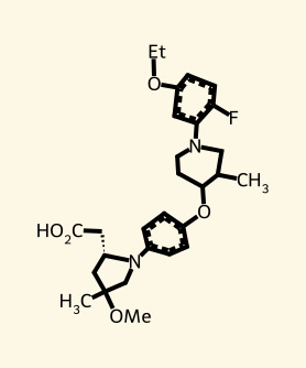 CCOc1ccc(F)c(N2CCC(Oc3ccc(N4CC(C)(OC)C[C@@H]4CC(=O)O)cc3)C(C)C2)c1